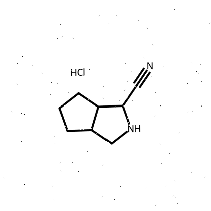 Cl.N#CC1NCC2CCCC21